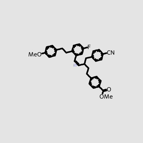 COC(=O)c1ccc(CCC(/C=C\c2cc(F)ccc2CCc2ccc(OC)cc2)Cc2ccc(C#N)cc2)cc1